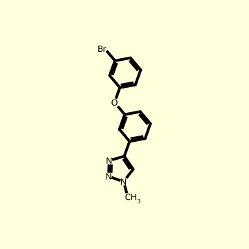 Cn1cc(-c2cccc(Oc3cccc(Br)c3)c2)nn1